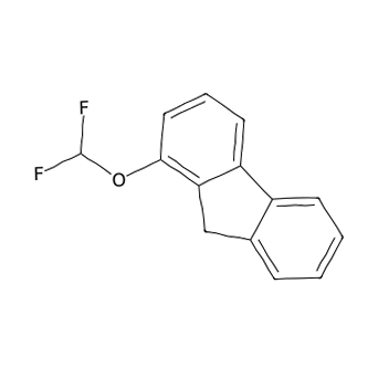 FC(F)Oc1cccc2c1Cc1ccccc1-2